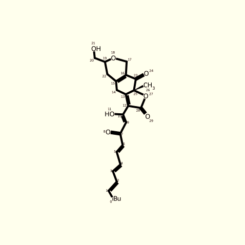 CCC(C)/C=C/C=C/C=C/C(=O)/C=C(\O)C1=C2CC3=C(COC(CO)C3)C(=O)[C@]2(C)OC1=O